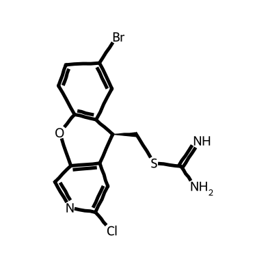 N=C(N)SC[C@@H]1c2cc(Br)ccc2Oc2cnc(Cl)cc21